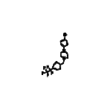 [O]c1ccc(N2CCN(Cc3ccc(C(F)(F)C(F)(F)F)cc3)CC2)cc1